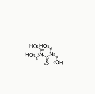 OCN(CO)C(=S)N(CO)CO